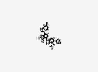 CN(C)Cc1nc(Nc2ccc(C3CN=C4C=C(F)C=CN43)c3c2C(=O)NC3)ccc1[C@@H]1CCOC1